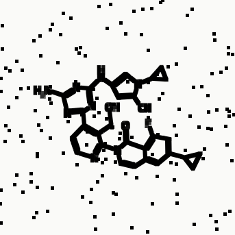 N#Cc1cc(Nc2nc(N)nc(-c3ccnc(-n4ccc5cc(C6CC6)cc(F)c5c4=O)c3CO)n2)cn1C1CC1